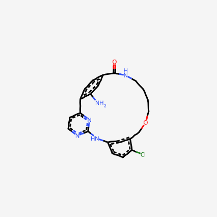 Nc1cc2ccc1-c1ccnc(n1)Nc1ccc(Cl)c(c1)COCCCCNC2=O